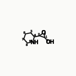 OC1OC1C1CCCCN1